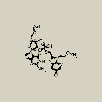 Nc1nc2ncn([C@@H]3O[C@H](COCS)[C@@H](F)[C@H]3OP(=O)(S)OCc3nc4cc(Cl)cnc4n3CCOP)c2c(=O)[nH]1